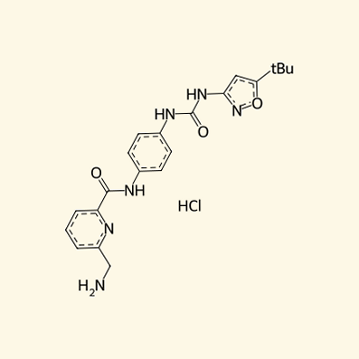 CC(C)(C)c1cc(NC(=O)Nc2ccc(NC(=O)c3cccc(CN)n3)cc2)no1.Cl